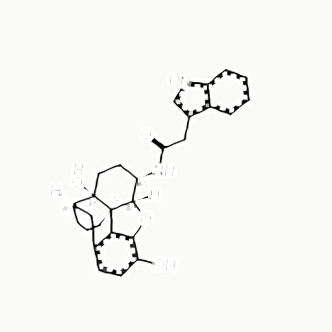 O=C(Cc1c[nH]c2ccccc12)N[C@@H]1CC[C@@]2(O)[C@@H]3CCC[C@@]24c2c(ccc(O)c2O[C@@H]14)C3